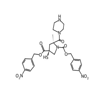 C[C@@]1(C(=O)N2CCNCC2)C[C@@](S)(C(=O)OCc2ccc([N+](=O)[O-])cc2)CN1C(=O)OCc1ccc([N+](=O)[O-])cc1